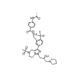 CC(=O)Nc1ccc(C(=O)NCc2cc(-c3nn(CC(O)CN4CCCC4)c4c3CN(S(C)(=O)=O)CC4)ccc2C(F)(F)F)cc1